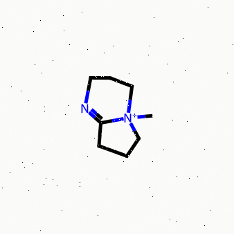 C[N+]12CCCN=C1CCC2